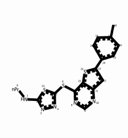 CCCNc1nnc(Sc2ncnc3cc(-c4ccc(C)cc4)sc23)s1